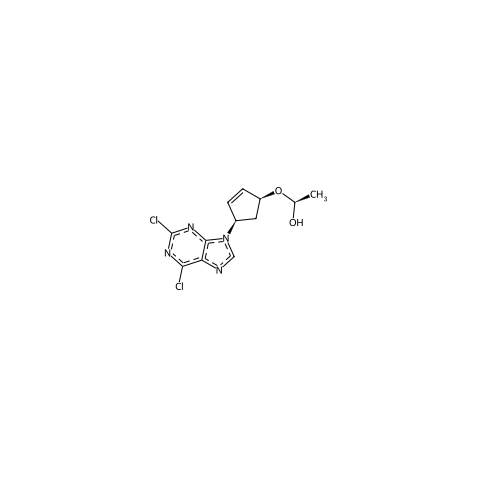 C[C@@H](O)O[C@@H]1C=C[C@H](n2cnc3c(Cl)nc(Cl)nc32)C1